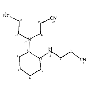 N#CCCNC1CCCCC1N(CCC#N)CCC#N